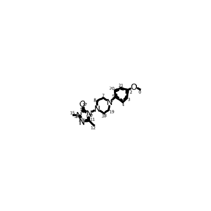 COc1ccc(N2CCN(n3c(C)nn(C)c3=O)CC2)cc1